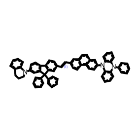 C(=C\c1ccc2c(ccc3cc(N4c5ccccc5N(c5ccccc5)c5ccccc54)ccc32)c1)/c1ccc2c(c1)C(c1ccccc1)(c1ccccc1)c1cc(N3CCCc4ccccc43)ccc1-2